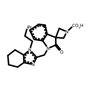 CC(C)CCn1c(CN2C(=O)C3(CN(C(=O)O)C3)c3ccccc32)nc2c1CCCC2